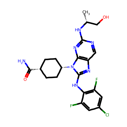 C[C@H](CO)Nc1ncc2nc(Nc3c(F)cc(Cl)cc3F)n([C@H]3CC[C@@H](C(N)=O)CC3)c2n1